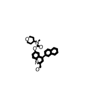 CN(C(=O)Oc1ccc2nc(C=O)cc(-c3ccc4ccccc4c3)c2c1)C1CCOCC1